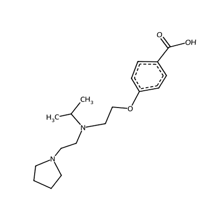 CC(C)N(CCOc1ccc(C(=O)O)cc1)CCN1CCCC1